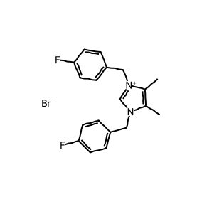 Cc1c(C)[n+](Cc2ccc(F)cc2)cn1Cc1ccc(F)cc1.[Br-]